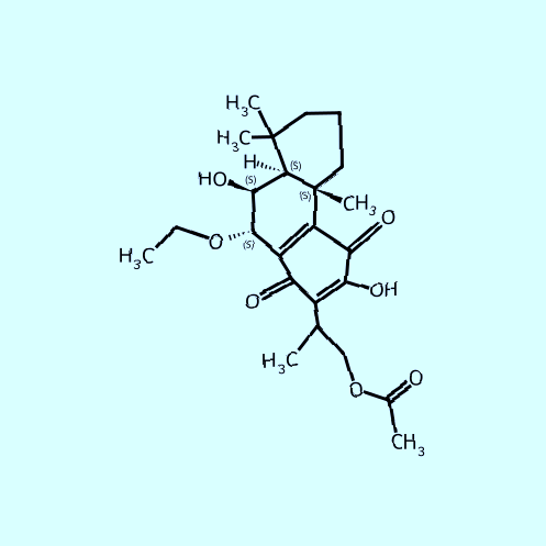 CCO[C@H]1C2=C(C(=O)C(O)=C(C(C)COC(C)=O)C2=O)[C@@]2(C)CCCC(C)(C)[C@@H]2[C@@H]1O